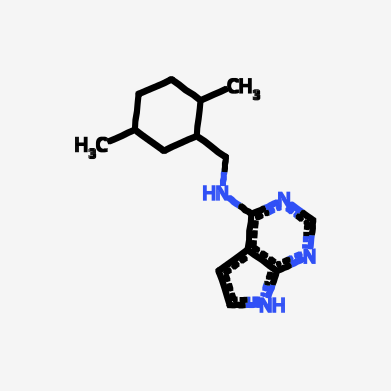 CC1CCC(C)C(CNc2ncnc3[nH]ccc23)C1